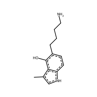 Cc1c[nH]c2ccc(CCCCN)c(O)c12